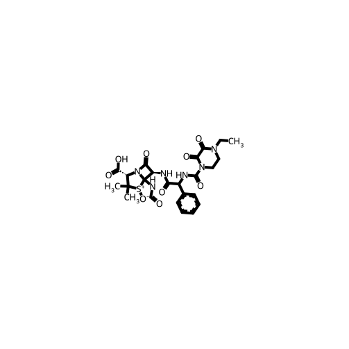 CCN1CCN(C(=O)NC(C(=O)N[C@@H]2C(=O)N3[C@@H](C(=O)O)C(C)(C)[S+]([O-])C23NC=O)c2ccccc2)C(=O)C1=O